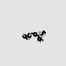 O=C(NC(c1ccc(CN2CCC3(CC2)OCc2ccncc23)cc1)c1ccc(F)c(F)c1)c1ccco1